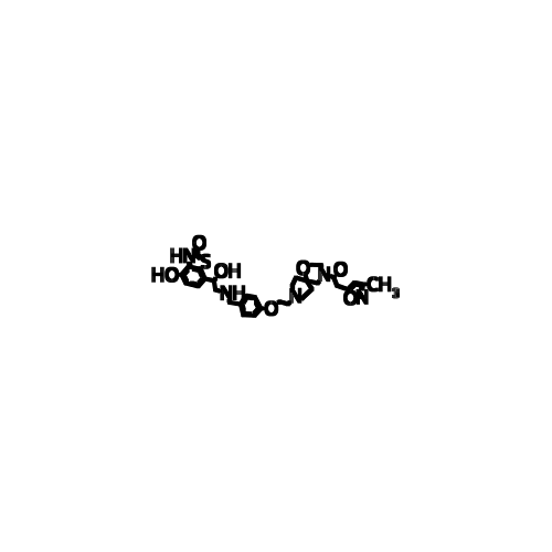 Cc1cc(CC(=O)N2CCOC3(CCN(CCOc4ccc(CNCC(O)c5ccc(O)c6[nH]c(=O)sc56)cc4)CC3)C2)on1